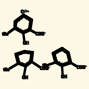 CC(C)(C)c1cccc(C(=O)[O-])c1O.CC(C)(C)c1cccc(C(=O)[O-])c1O.CC(C)(C)c1cccc(C(=O)[O-])c1O.[Cr+3]